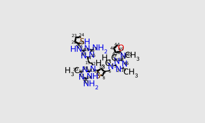 CC1N=C(N(C)Cc2csc(N(CCC3N=C(N)NC(Nc4cccs4)=N3)C3=NC(C)N=C(N)N3)c2)N(C)C(N(C)c2ccco2)=N1